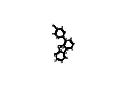 Cc1ccc(-c2cccc3c2oc2ncccc23)nc1